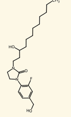 CCCCCCCCCC(O)CCN1CCN(c2ccc(CO)cc2F)C1=O